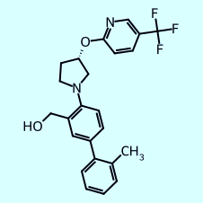 Cc1ccccc1-c1ccc(N2CC[C@H](Oc3ccc(C(F)(F)F)cn3)C2)c(CO)c1